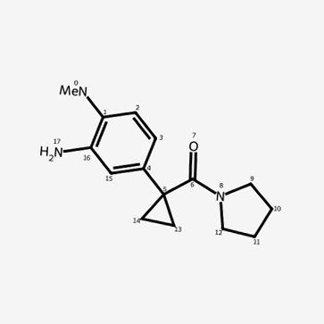 CNc1ccc(C2(C(=O)N3CCCC3)CC2)cc1N